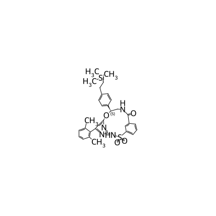 Cc1cccc(C)c1-c1cc2nc(n1)NS(=O)(=O)c1cccc(c1)C(=O)NC[C@H](c1ccc(CC[Si](C)(C)C)cc1)O2